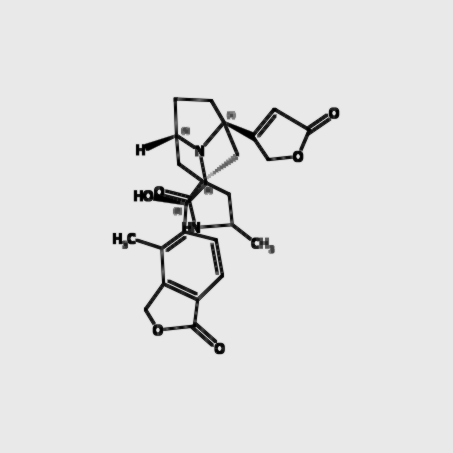 Cc1c([C@@H](O)CN2[C@H]3CC[C@]2(C2=CC(=O)OC2)C[C@@]2(CC(C)NC2=O)C3)ccc2c1COC2=O